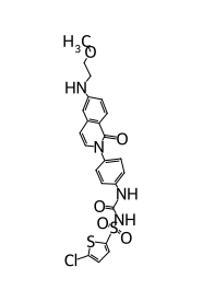 COCCNc1ccc2c(=O)n(-c3ccc(NC(=O)NS(=O)(=O)c4ccc(Cl)s4)cc3)ccc2c1